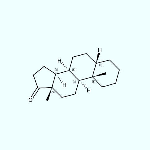 C[C@]12CC[CH]C[C@H]1CC[C@H]1[C@@H]2[CH]C[C@]2(C)C(=O)CC[C@@H]12